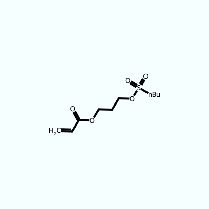 C=CC(=O)OCCCOS(=O)(=O)CCCC